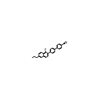 CCCc1ccc2c(F)c(-c3ccc(-c4ccc(C#N)cc4)cc3)ccc2c1